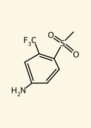 CS(=O)(=O)c1ccc(N)cc1C(F)(F)F